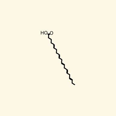 CCC=CCC=CCC=CCC=CCCC=CCCCC(=O)O